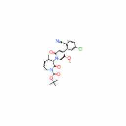 COc1cn(C2C(=O)N(C(=O)OC(C)(C)C)CC=CC2C)c(=O)cc1-c1cc(Cl)ccc1C#N